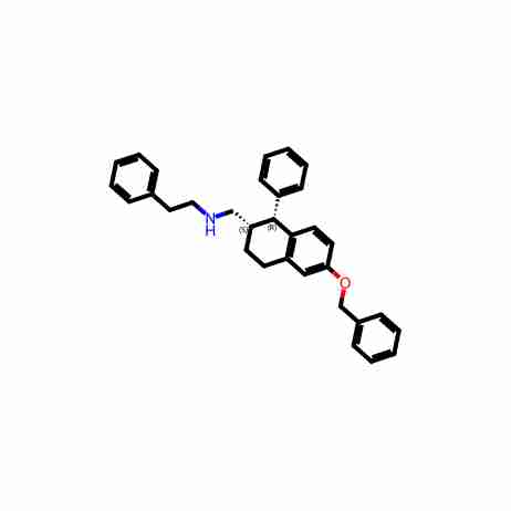 c1ccc(CCNC[C@H]2CCc3cc(OCc4ccccc4)ccc3[C@H]2c2ccccc2)cc1